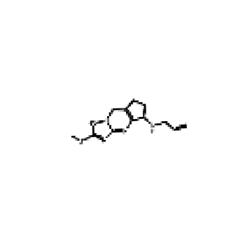 C=CCNC1CCC2=C1N=C1N=C(SC)NN1C2